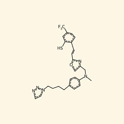 CN(Cc1coc(C=Cc2ccc(C(F)(F)F)cc2S)n1)c1ccc(CCCCn2ccnn2)cc1